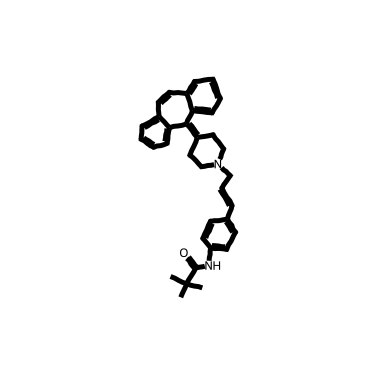 CC(C)(C)C(=O)Nc1ccc(C=CCN2CCC(=C3c4ccccc4C=Cc4ccccc43)CC2)cc1